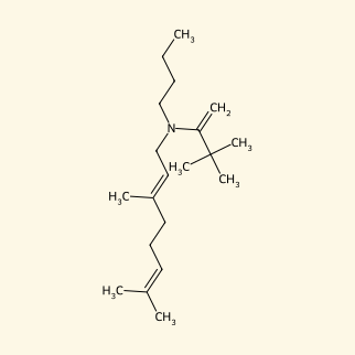 C=C(N(C/C=C(\C)CCC=C(C)C)CCCC)C(C)(C)C